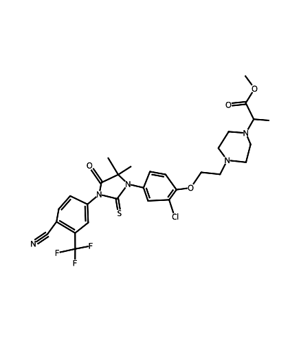 COC(=O)C(C)N1CCN(CCOc2ccc(N3C(=S)N(c4ccc(C#N)c(C(F)(F)F)c4)C(=O)C3(C)C)cc2Cl)CC1